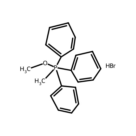 Br.COP(C)(c1ccccc1)(c1ccccc1)c1ccccc1